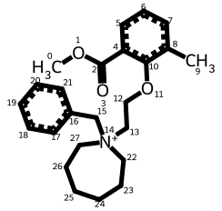 COC(=O)c1cccc(C)c1OCC[N+]1(Cc2ccccc2)CCCCCC1